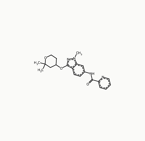 Cn1nc(OC2CCOC(C)(C)C2)c2ccc(NC(=O)c3ccccn3)cc21